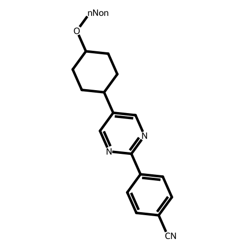 CCCCCCCCCOC1CCC(c2cnc(-c3ccc(C#N)cc3)nc2)CC1